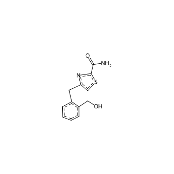 NC(=O)c1nc(Cc2ccccc2CO)cs1